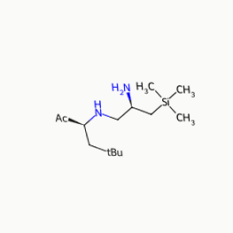 CC(=O)[C@H](CC(C)(C)C)NC[C@@H](N)C[Si](C)(C)C